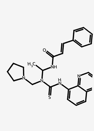 CC(NC(=O)/C=C/c1ccccc1)N(CN1CCCC1)C(=S)Nc1cccc2cccnc12